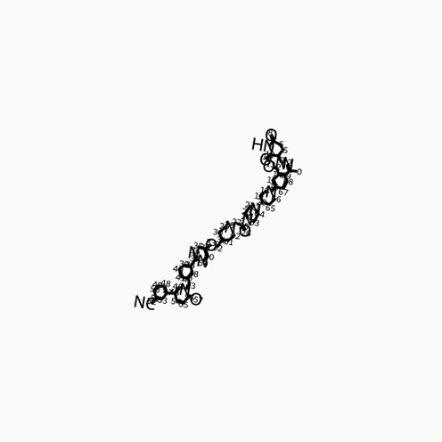 Cc1nn(C2CCC(=O)NC2=O)c(=O)c2cc(N3CCC(N4CCN(C(=O)CN5CCC(COc6cnc(-c7cccc(Cn8cc(-c9cccc(C#N)c9)ccc8=O)c7)nc6)CC5)CC4)CC3)ccc12